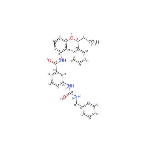 O=C(O)CC(Oc1cccc(NC(=O)c2cccc(NC(=O)NCc3ccccc3)c2)c1)c1ccccc1